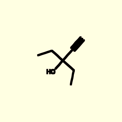 C#CC(O)(CC)CC